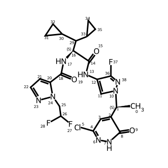 C[C@@H](c1cc(Cl)n[nH]c1=O)n1cc(NC(=O)[C@@H](NC(=O)c2ccnn2CC(F)F)C(C2CC2)C2CC2)c(F)n1